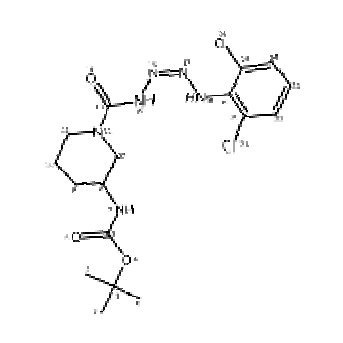 CC(C)(C)OC(=O)NC1CCCN(C(=O)N/N=N\Nc2c(Cl)cccc2Cl)C1